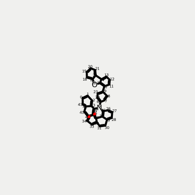 c1ccc2c(N(c3ccc(-c4cccc5c4oc4ccccc45)cc3)c3cccc4ccc5ccccc5c34)cccc2c1